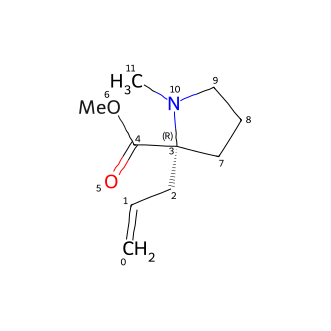 C=CC[C@@]1(C(=O)OC)CCCN1C